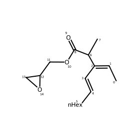 CC=C(C=CCCCCCC)C(C)C(=O)OCC1CO1